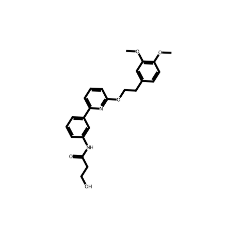 COc1ccc(CCOc2cccc(-c3cccc(NC(=O)CCO)c3)n2)cc1OC